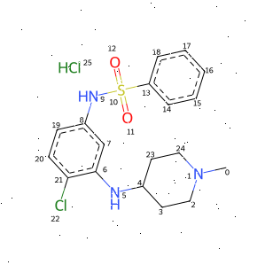 CN1CCC(Nc2cc(NS(=O)(=O)c3ccccc3)ccc2Cl)CC1.Cl